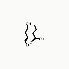 CCC=CCCO.CCCC(=O)O